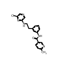 Cc1ccc(C(=O)Nc2cccc(CCNc3cncc(Cl)n3)c2)cn1